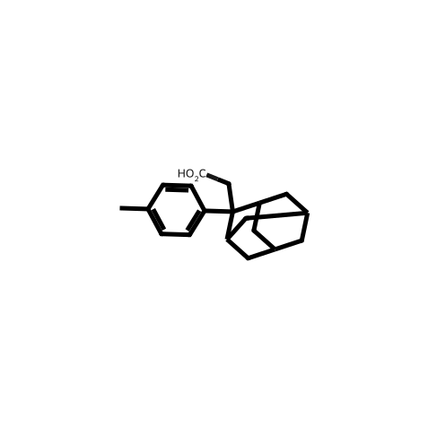 Cc1ccc(C2(CC(=O)O)C3CC4CC(C3)CC2C4)cc1